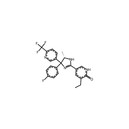 CCc1cc(C2=NC(c3ccc(F)cc3)(c3ccc(C(F)(F)F)nc3)[C@H](C)N2)c[nH]c1=O